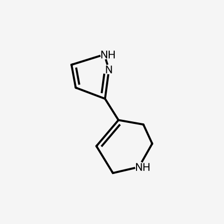 C1=C(c2cc[nH]n2)CCNC1